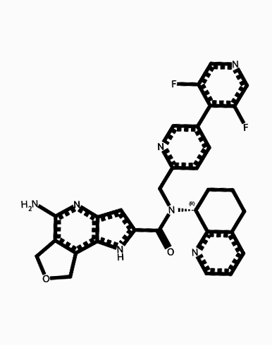 Nc1nc2cc(C(=O)N(Cc3ccc(-c4c(F)cncc4F)cn3)[C@@H]3CCCc4cccnc43)[nH]c2c2c1COC2